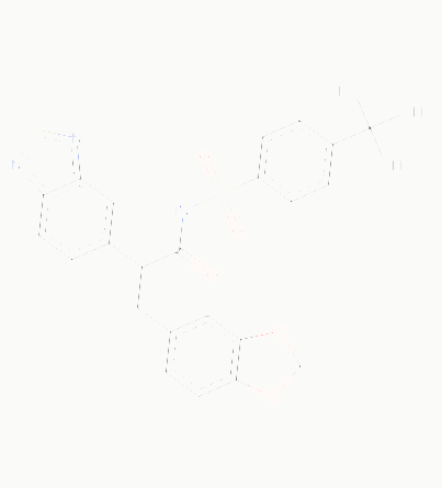 CC(C)(C)c1ccc(S(=O)(=O)NC(=O)C(Cc2ccc3c(c2)OCO3)c2ccc3nsnc3c2)cc1